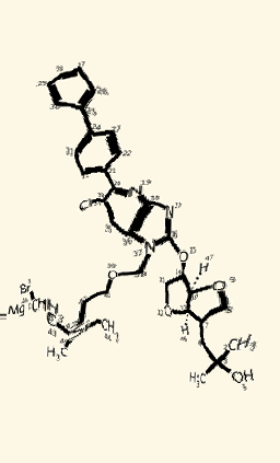 CBr.CC(C)(O)CC1CO[C@H]2[C@@H]1OC[C@H]2Oc1nc2nc(-c3ccc(-c4ccccc4)cc3)c(Cl)cc2n1COCC[Si](C)(C)C.[MgH2]